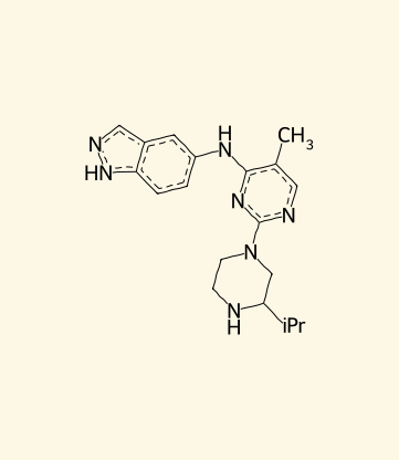 Cc1cnc(N2CCNC(C(C)C)C2)nc1Nc1ccc2[nH]ncc2c1